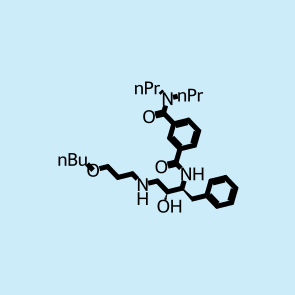 CCCCOCCCNC[C@@H](O)[C@H](Cc1ccccc1)NC(=O)c1cccc(C(=O)N(CCC)CCC)c1